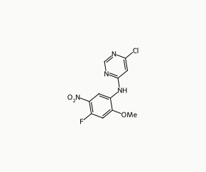 COc1cc(F)c([N+](=O)[O-])cc1Nc1cc(Cl)ncn1